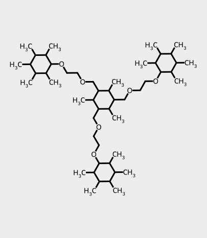 CC1C(C)C(C)C(OCCOCC2C(C)C(COCCOC3C(C)C(C)C(C)C(C)C3C)C(C)C(COCCOC3C(C)C(C)C(C)C(C)C3C)C2C)C(C)C1C